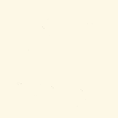 COc1cc(OC2CCN(C(=O)c3ccc(C(=O)O)cc3)CC2)ccc1C(=O)N1CCC(N2C(=O)OCc3ccccc32)CC1